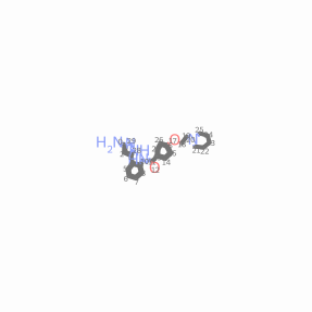 Nc1cc(-c2ccccc2NC(=O)c2ccc(OCCN3CCCCC3)cc2)[nH]n1